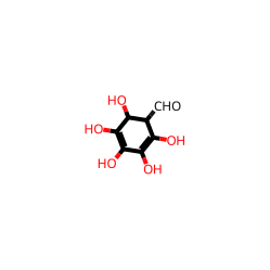 O=CC1C(O)=C(O)C(O)=C(O)C1O